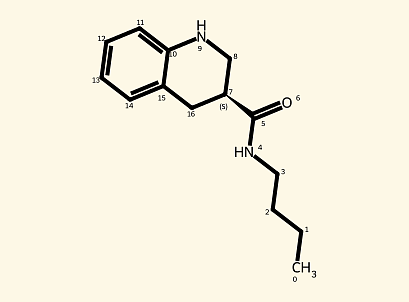 CCCCNC(=O)[C@@H]1CNc2ccccc2C1